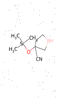 C[Si](C)(C)OC1(C#N)CBCC1